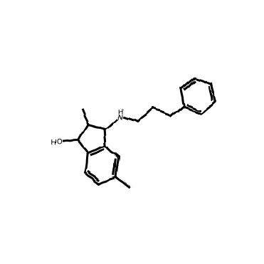 Cc1ccc2c(c1)C(NCCCc1ccccc1)C(C)C2O